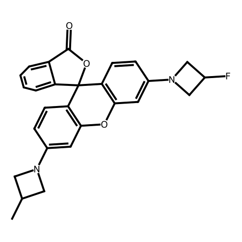 CC1CN(c2ccc3c(c2)Oc2cc(N4CC(F)C4)ccc2C32OC(=O)c3ccccc32)C1